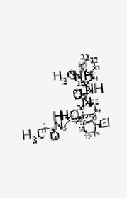 CCC(=O)NCCCC(O)(c1cccc(Cl)c1)C1CCCN(C(=O)NC(CNC)CC2CCCCC2)C1